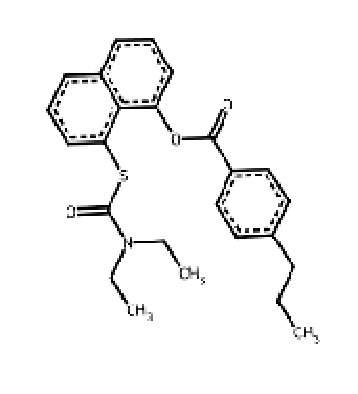 CCCc1ccc(C(=O)Oc2cccc3cccc(SC(=O)N(CC)CC)c23)cc1